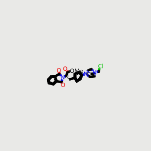 COC(=O)[C@H](Cc1ccc([N+]23CC[N+](CCl)(CC2)CC3)cc1)N1C(=O)c2ccccc2C1=O